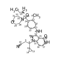 Cc1cc(Nc2nn(C(CC#N)C3CC3)c3cc[nH]c(=O)c23)ccc1C(=O)N1CCOC[C@@H]1C(C)C